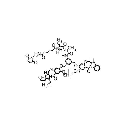 C=CC1=C(/C=C\C)C[C@H]2C=Nc3cc(OCc4cc(COc5cc6c(cc5OC)C(=O)N5c7ccccc7C[C@H]5C=N6)cc(NC(=O)[C@H](C)NC(=O)[C@H](C)NC(=O)CCCCC(=O)NCCN5C(=O)C=CC5=O)c4)c(OC)cc3C(=O)N12